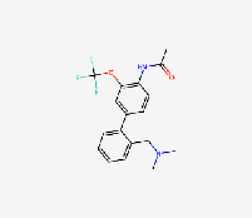 CC(=O)Nc1ccc(-c2ccccc2CN(C)C)cc1OC(F)(F)F